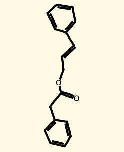 O=C(Cc1ccccc1)OCC=Cc1ccccc1